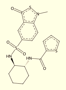 Cn1sc(=O)c2cc(S(=O)(=O)N[C@@H]3CCCC[C@H]3NC(=O)c3cccs3)ccc21